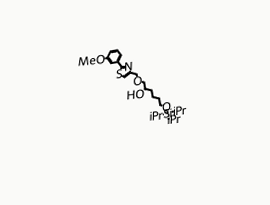 COc1cccc(-c2nc(COCC(O)CCCCO[Si](C(C)C)(C(C)C)C(C)C)cs2)c1